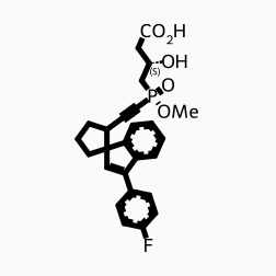 COP(=O)(C#CC1CCCC12C=C(c1ccc(F)cc1)c1ccccc12)C[C@@H](O)CC(=O)O